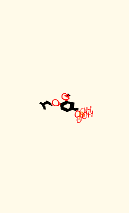 COc1cc(COP(=O)(O)O)ccc1OCCC(C)C